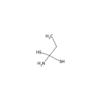 CCC(N)(S)S